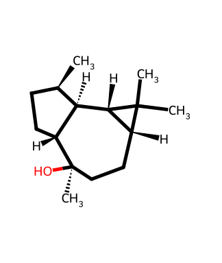 C[C@@H]1CC[C@@H]2[C@@H]1[C@H]1[C@@H](CC[C@@]2(C)O)C1(C)C